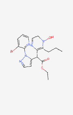 CCCC1=C(C(C(=O)OCC)c2ccnn2-c2ncccc2Br)N=CCN1O